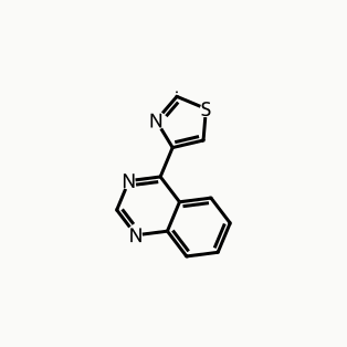 [c]1nc(-c2ncnc3ccccc23)cs1